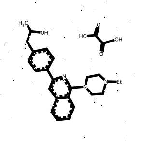 CCN1CCN(c2nc(-c3ccc(CC(C)O)cc3)cc3ccccc23)CC1.O=C(O)C(=O)O